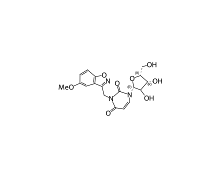 COc1ccc2onc(Cn3c(=O)ccn([C@@H]4O[C@H](CO)[C@H](O)C4O)c3=O)c2c1